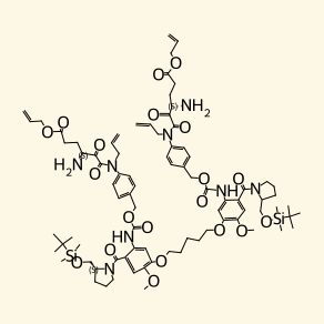 C=CCOC(=O)CC[C@H](N)C(=O)C(=O)N(CC=C)c1ccc(COC(=O)Nc2cc(OCCCCCOc3cc(NC(=O)OCc4ccc(N(CC=C)C(=O)C(=O)[C@@H](N)CCC(=O)OCC=C)cc4)c(C(=O)N4CCC[C@H]4CO[Si](C)(C)C(C)(C)C)cc3OC)c(OC)cc2C(=O)N2CCCC2CO[Si](C)(C)C(C)(C)C)cc1